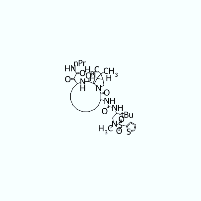 CCCNC(=O)C(=O)[C@@H]1CCCCCCCCC[C@H](NC(=O)N[C@H](CN(C)S(=O)(=O)c2cccs2)C(C)(C)C)C(=O)N2C[C@H]3[C@@H]([C@H]2C(=O)N1)C3(C)C